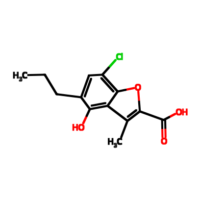 CCCc1cc(Cl)c2oc(C(=O)O)c(C)c2c1O